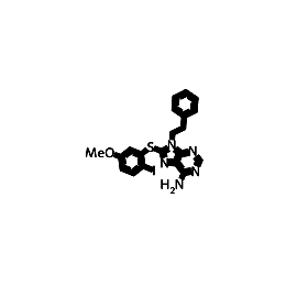 COc1ccc(I)c(Sc2nc3c(N)ncnc3n2CCc2ccccc2)c1